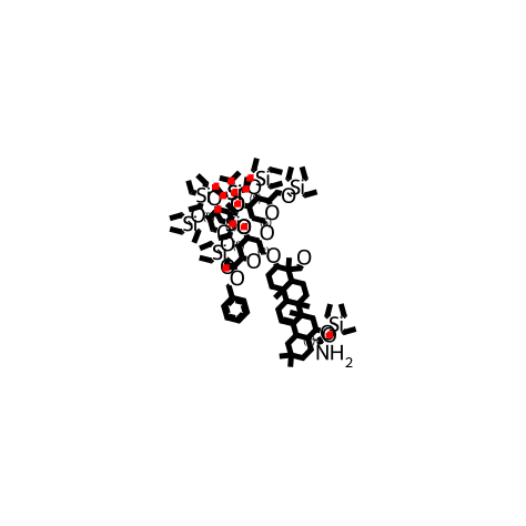 CC[Si](CC)(CC)OCC1O[C@@H](OC2C(O[C@@H]3OC[C@@H](O[Si](CC)(CC)CC)C(O[Si](CC)(CC)CC)C3O[Si](CC)(CC)CC)[C@H](O[Si](CC)(CC)CC)C(C(=O)OCc3ccccc3)O[C@H]2OC2CCC3(C)C(CCC4(C)C3CC=C3C5CC(C)(C)CC[C@]5(C(N)=O)C(O[Si](CC)(CC)CC)CC34C)C2(C)C=O)C(O[Si](CC)(CC)CC)C(O[Si](CC)(CC)CC)[C@H]1O[Si](CC)(CC)CC